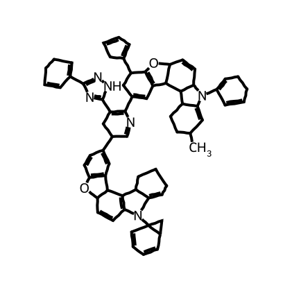 CC1C=C2C(CC1)C1C3C4=C(OC3C=CC1N2C1=CCCC=C1)C(C1=CC=CC1)CC(C1=C(c2nc(C3=CCCC=C3)n[nH]2)CC(c2ccc3c(c2)C2C5=C(C=CC2O3)N(C23C=CC=CC2C3)C2=CCCCC25)C=N1)=C4